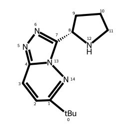 CC(C)(C)c1ccc2nnc([C@@H]3CCCN3)n2n1